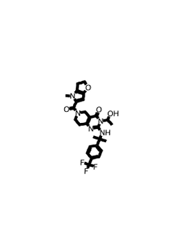 CC(O)n1c(NC(C)(C)c2ccc(C(F)(F)F)cc2)nc2c(c1=O)CN(C(=O)c1cc3c(n1C)CCO3)CC2